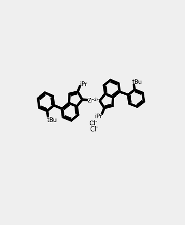 CC(C)C1=Cc2c(-c3ccccc3C(C)(C)C)cccc2[CH]1[Zr+2][CH]1C(C(C)C)=Cc2c(-c3ccccc3C(C)(C)C)cccc21.[Cl-].[Cl-]